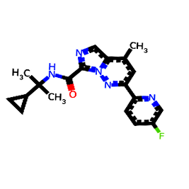 Cc1cc(-c2ccc(F)cn2)nn2c(C(=O)NC(C)(C)C3CC3)ncc12